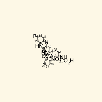 O=C(O)NC1CCC(C(Cc2nc3ccc(F)cc3[nH]c2=O)NS(=O)(=O)c2ccccc2[N+](=O)[O-])CC1